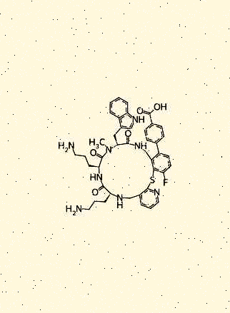 CN1C(=O)[C@H](CCCN)NC(=O)[C@H](CCCN)NCc2cccnc2Sc2c(F)ccc(-c3ccc(C(=O)O)cc3)c2CNC(=O)[C@@H]1Cc1c[nH]c2ccccc12